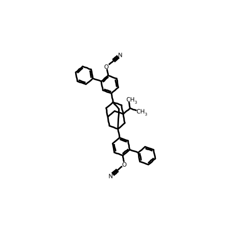 CC(C)C12CC3CC(c4ccc(OC#N)c(-c5ccccc5)c4)(CC(c4ccc(OC#N)c(-c5ccccc5)c4)(C3)C1)C2